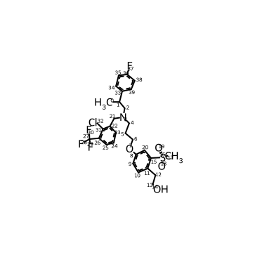 CC(CN(CCCOc1ccc(CCO)c(S(C)(=O)=O)c1)Cc1cccc(C(F)(F)F)c1Cl)c1ccc(F)cc1